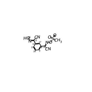 CS(=O)(=O)ON=C(C#N)c1cccc(C(C#N)=NO)c1